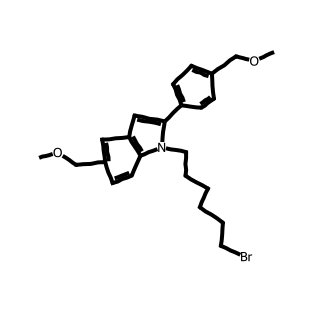 COCc1ccc(-c2cc3cc(COC)ccc3n2CCCCCCBr)cc1